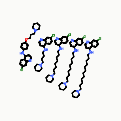 Clc1ccc2c(NCCCCCCCCCCCCN3CCCCC3)ccnc2c1.Clc1ccc2c(NCCCCCCCCCCN3CCCCC3)ccnc2c1.Clc1ccc2c(NCCCCCCCCN3CCCCC3)ccnc2c1.Clc1ccc2c(NCCCCN3CCCCC3)ccnc2c1.Clc1ccc2c(Nc3ccc(OCCCN4CCCCC4)cc3)ccnc2c1